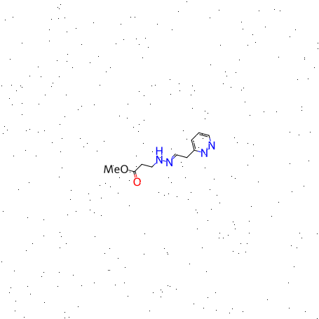 COC(=O)CCN/N=C/Cc1cccnn1